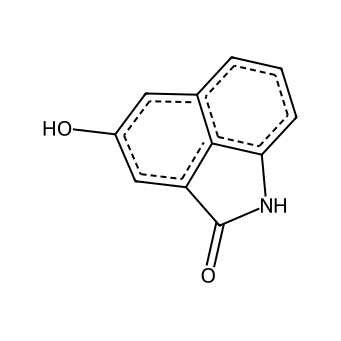 O=C1Nc2cccc3cc(O)cc1c23